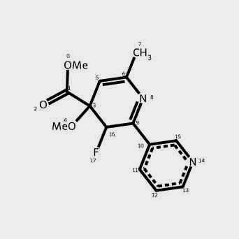 COC(=O)C1(OC)C=C(C)N=C(c2cccnc2)C1F